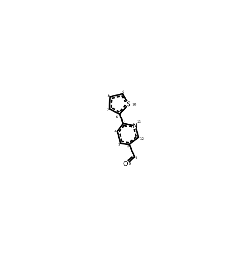 O=Cc1ccc(-c2cccs2)nc1